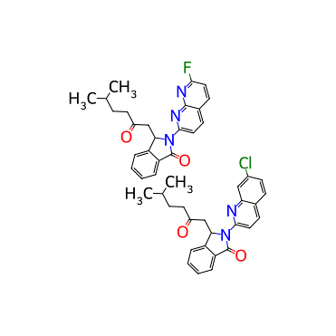 CC(C)CCC(=O)CC1c2ccccc2C(=O)N1c1ccc2ccc(Cl)cc2n1.CC(C)CCC(=O)CC1c2ccccc2C(=O)N1c1ccc2ccc(F)nc2n1